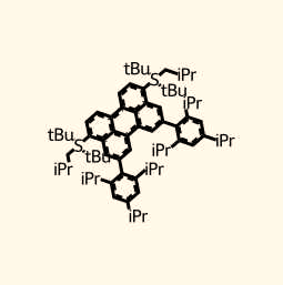 CC(C)CS(c1ccc2c3ccc(S(CC(C)C)(C(C)(C)C)C(C)(C)C)c4cc(-c5c(C(C)C)cc(C(C)C)cc5C(C)C)cc(c5cc(-c6c(C(C)C)cc(C(C)C)cc6C(C)C)cc1c25)c43)(C(C)(C)C)C(C)(C)C